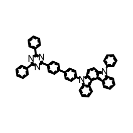 c1ccc(-c2nc(-c3ccccc3)nc(-c3ccc(-c4ccc(-n5c6ccccc6c6c7c8ccccc8n(-c8ccccc8)c7ccc65)cc4)cc3)n2)cc1